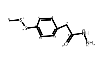 CSSc1ccc(CC(=O)NN)cc1